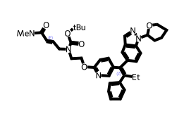 CC/C(=C(/c1ccc(OCCN(C/C=C/C(=O)NC)C(=O)OC(C)(C)C)nc1)c1ccc2c(cnn2C2CCCCO2)c1)c1ccccc1